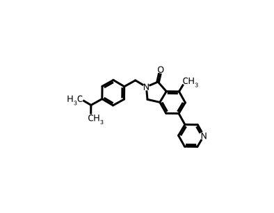 Cc1cc(-c2cccnc2)cc2c1C(=O)N(Cc1ccc(C(C)C)cc1)C2